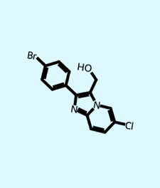 OCc1c(-c2ccc(Br)cc2)nc2ccc(Cl)cn12